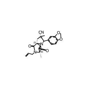 C=CCN1C(=O)[C@@]23C[C@](C)(C#N)C(c4ccc5c(c4)OCO5)N2C(=O)[C@@]1(C)SS3